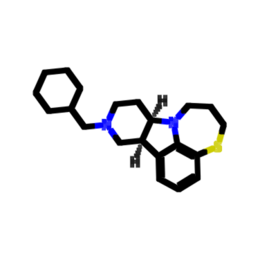 c1cc2c3c(c1)[C@H]1CN(CC4CCCCC4)CC[C@H]1N3CCCS2